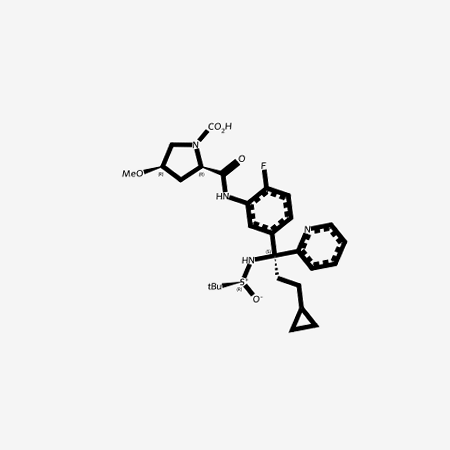 CO[C@@H]1C[C@H](C(=O)Nc2cc([C@](CCC3CC3)(N[S@@+]([O-])C(C)(C)C)c3ccccn3)ccc2F)N(C(=O)O)C1